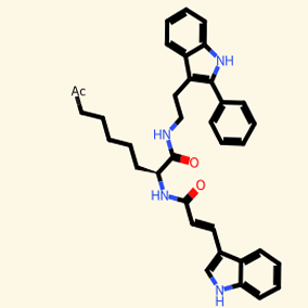 CC(=O)CCCCC[C@H](NC(=O)C=Cc1c[nH]c2ccccc12)C(=O)NCCc1c(-c2ccccc2)[nH]c2ccccc12